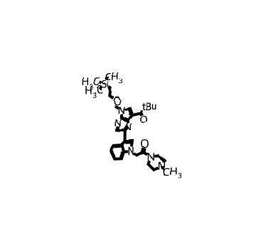 CN1CCN(C(=O)Cn2cc(-c3cnc4c(n3)c(C(=O)C(C)(C)C)cn4COCC[Si](C)(C)C)c3ccccc32)CC1